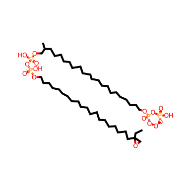 CCC1(CCCCCCCCCCCCCCCCCCCCOP(=O)(O)OP(=O)(O)OCC(C)CCCCCCCCCCCCCCCCCCCCOP2(=O)OOOP(=O)(O)O2)CO1